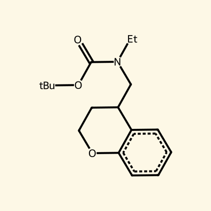 CCN(CC1CCOc2ccccc21)C(=O)OC(C)(C)C